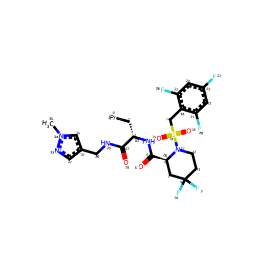 CC(C)C[C@H](NC(=O)[C@@H]1CC(F)(F)CCN1S(=O)(=O)Cc1c(F)cc(F)cc1F)C(=O)NCc1cnn(C)c1